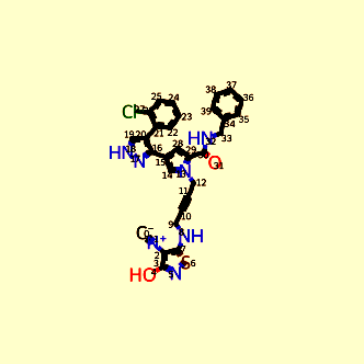 [C-]#[N+]c1c(O)nsc1NCC#CCn1cc(-c2n[nH]cc2-c2ccccc2Cl)cc1C(=O)NCc1ccccc1